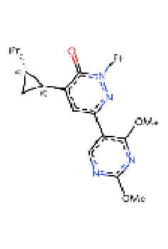 CCn1nc(-c2cnc(OC)nc2OC)cc([C@H]2C[C@@H]2C(C)C)c1=O